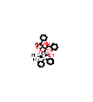 CO[C@H]1O[C@H](C(O)[Si](c2ccccc2)(c2ccccc2)C(C)(C)C)[C@](O)(C(=O)c2ccccc2)[C@]1(O)C(=O)c1ccccc1